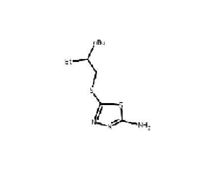 CCCCC(CC)CSc1nnc(N)s1